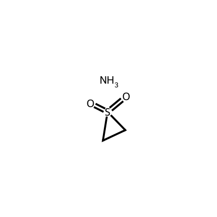 N.O=S1(=O)CC1